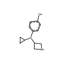 Oc1ccc(N(C2CC2)C2CNC2)cc1